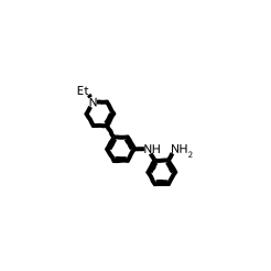 CCN1CC=C(c2cccc(Nc3ccccc3N)c2)CC1